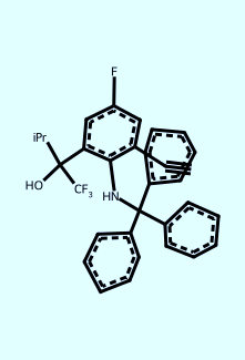 C#Cc1cc(F)cc(C(O)(C(C)C)C(F)(F)F)c1NC(c1ccccc1)(c1ccccc1)c1ccccc1